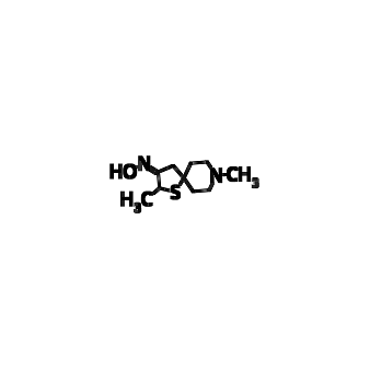 CC1SC2(CCN(C)CC2)C/C1=N/O